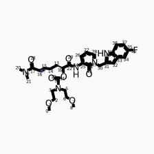 COCCN(CCOC)C(=O)O[C@@H](CC/C=C/C(=O)N(C)C)C(=O)Nc1cccn(Cc2cc3cc(F)ccc3[nH]2)c1=O